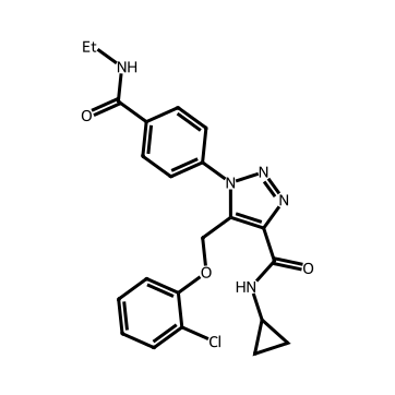 CCNC(=O)c1ccc(-n2nnc(C(=O)NC3CC3)c2COc2ccccc2Cl)cc1